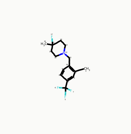 Cc1cc(C(F)(F)F)ccc1CN1CCC(C)(F)CC1